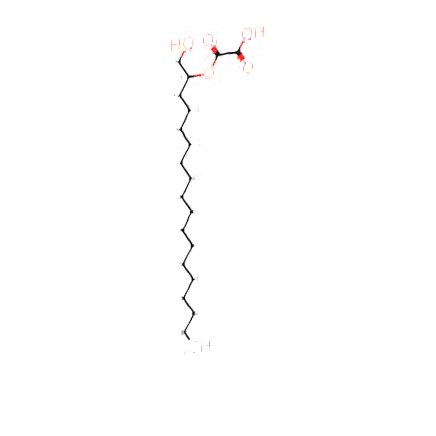 CCCCCCCCCCCCCCCCC(CO)OC(=O)C(=O)O